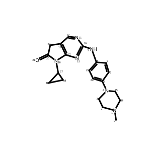 CN1CCN(c2ccc(Nc3ncc4c(n3)N(C3CC3)C(=O)C4)cc2)CC1